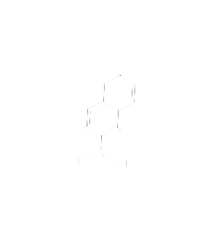 OB(O)c1ccc2c(c1)C=CCC2